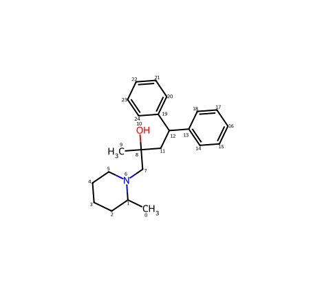 CC1CCCCN1CC(C)(O)CC(c1ccccc1)c1ccccc1